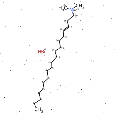 Br.CCCCCCCCCCCCCCCC=CCCN(C)C